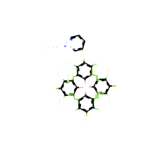 CCCCCCCCCC[n+]1ccccc1.Fc1c(F)c(F)c([B-](c2c(F)c(F)c(F)c(F)c2F)(c2c(F)c(F)c(F)c(F)c2F)c2c(F)c(F)c(F)c(F)c2F)c(F)c1F